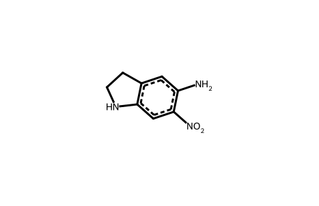 Nc1cc2c(cc1[N+](=O)[O-])NCC2